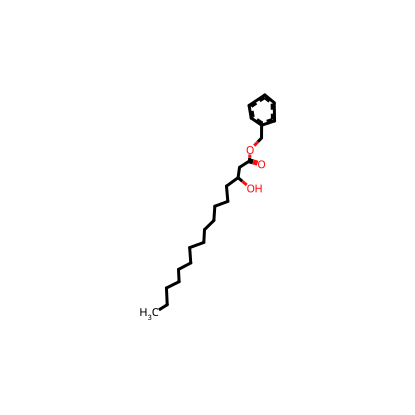 CCCCCCCCCCCCCC(O)CC(=O)OCc1ccccc1